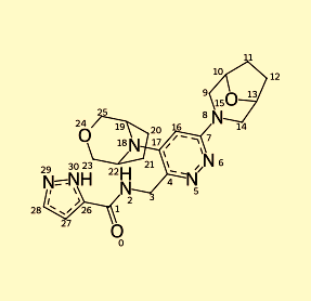 O=C(NCc1nnc(N2CC3CCC(C2)O3)cc1N1C2CCC1COC2)c1ccn[nH]1